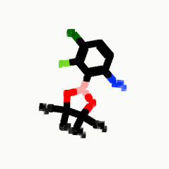 CC1(C)OB(c2c(N)ccc(Cl)c2F)OC1(C)C